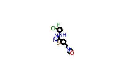 Fc1ccc(Nc2ncnc3sc4c(c23)CCC(CCN2CCOCC2)C4)cc1Cl